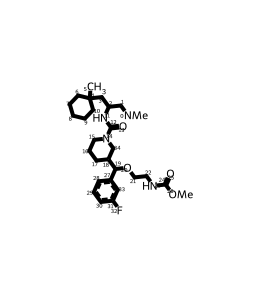 CNCC(CC1(C)CCCCC1)NC(=O)N1CCCC(C(OCCNC(=O)OC)c2cccc(F)c2)C1